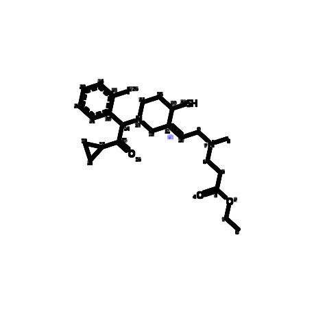 CCOC(=O)CCN(C)C/C=C1/CN(C(C(=O)C2CC2)c2ccccc2F)CCC1S